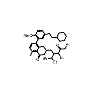 CCC(C(=O)CC(C)=O)C(CC1CC(=O)c2c(C)ccc(-c3cc(CCC4CCCCC4)ccc3OC)c2C1)C(CC)C(C)C